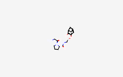 C[C@@H](N)C(=O)N1CCC[C@H]1C(=O)NCB1Oc2cc3cc(c2O1)C3